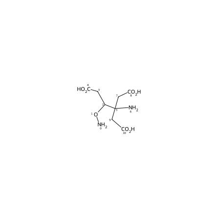 NOC(CC(=O)O)C(N)(CC(=O)O)CC(=O)O